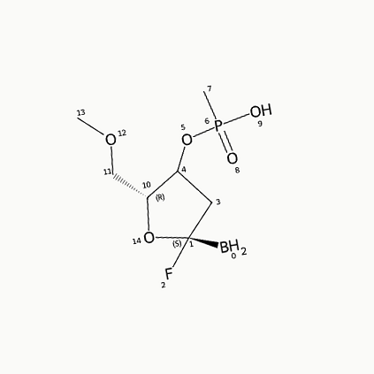 B[C@]1(F)CC(OP(C)(=O)O)[C@@H](COC)O1